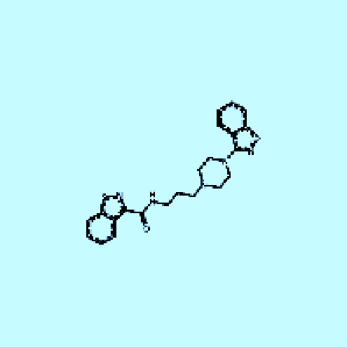 O=C(NCCCN1CCN(c2nsc3ccccc23)CC1)c1nsc2ccccc12